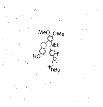 CCCCN(C)CCOc1ccc(CN(CC)c2cc(OC)c(OC)cc2C2CCc3cc(O)ccc3C2)cc1F